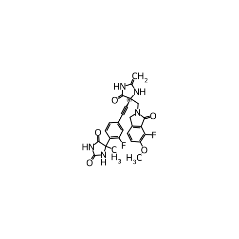 C=C1NC(=O)[C@@](C#Cc2ccc(C3(C)NC(=O)NC3=O)c(F)c2)(CN2Cc3ccc(OC)c(F)c3C2=O)N1